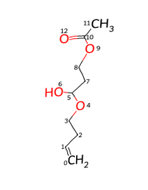 C=CCCOC(O)CCOC(C)=O